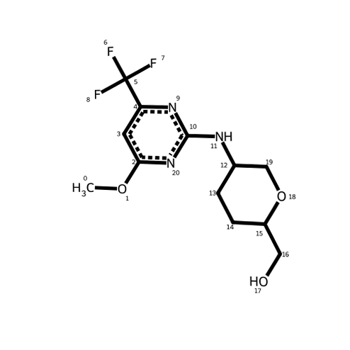 COc1cc(C(F)(F)F)nc(NC2CCC(CO)OC2)n1